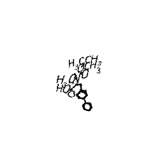 CN(C(=O)OC(C)(C)C)C(Cc1ccc(-c2ccccc2)cc1)C(=O)O